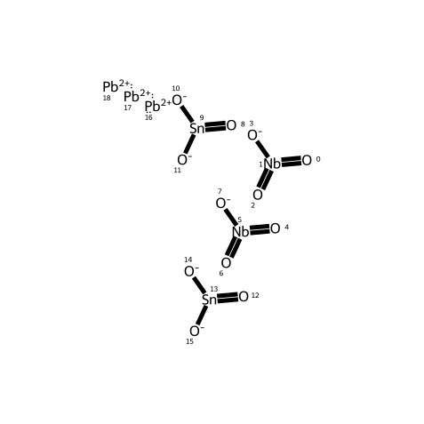 [O]=[Nb](=[O])[O-].[O]=[Nb](=[O])[O-].[O]=[Sn]([O-])[O-].[O]=[Sn]([O-])[O-].[Pb+2].[Pb+2].[Pb+2]